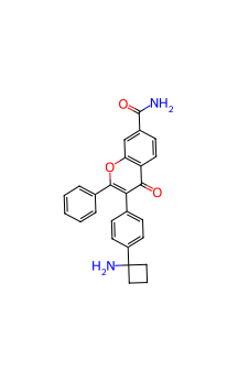 NC(=O)c1ccc2c(=O)c(-c3ccc(C4(N)CCC4)cc3)c(-c3ccccc3)oc2c1